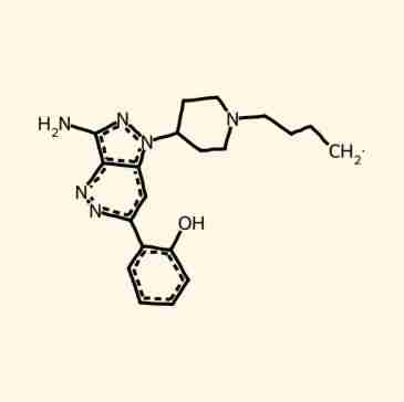 [CH2]CCCN1CCC(n2nc(N)c3nnc(-c4ccccc4O)cc32)CC1